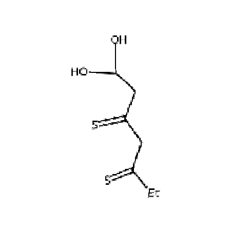 CCC(=S)CC(=S)CC(O)O